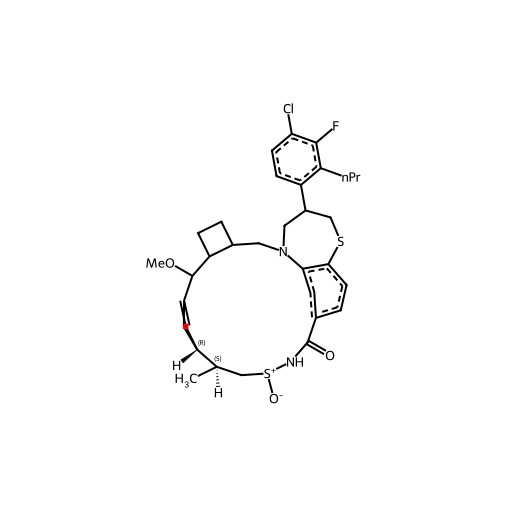 CCCc1c(C2CSc3ccc4cc3N(C2)CC2CCC2C(OC)C2=C[C@@H](C2)[C@H](C)C[S+]([O-])NC4=O)ccc(Cl)c1F